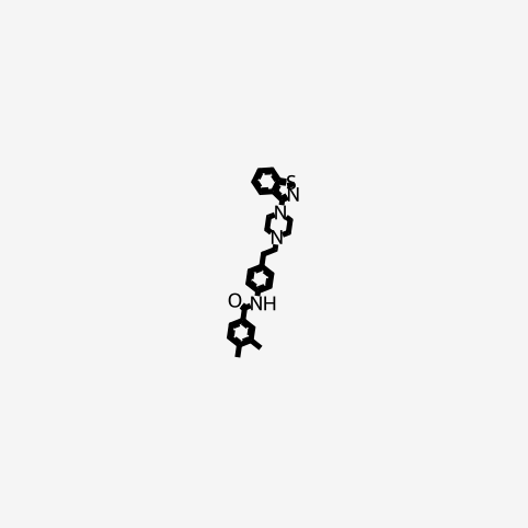 Cc1ccc(C(=O)Nc2ccc(CCN3CCN(c4nsc5ccccc45)CC3)cc2)cc1C